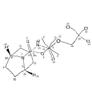 CC(C)(C)OC(=O)N1[C@@H]2CC[C@H]1C[C@@H](NC(=O)OCC(Cl)(Cl)Cl)C2